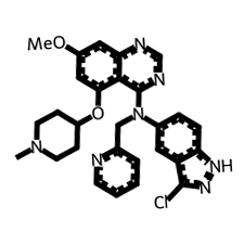 COc1cc(OC2CCN(C)CC2)c2c(N(Cc3ccccn3)c3ccc4[nH]nc(Cl)c4c3)ncnc2c1